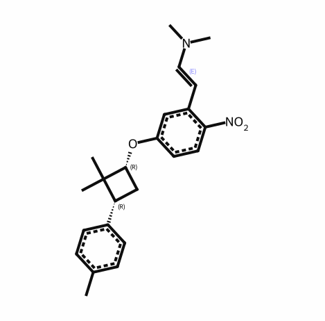 Cc1ccc([C@H]2C[C@@H](Oc3ccc([N+](=O)[O-])c(/C=C/N(C)C)c3)C2(C)C)cc1